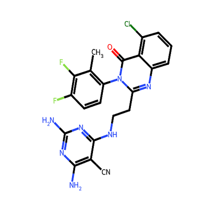 Cc1c(-n2c(CCNc3nc(N)nc(N)c3C#N)nc3cccc(Cl)c3c2=O)ccc(F)c1F